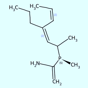 C=C(N)[P@](C)C(C)/C=C(\C=C/C)CCC